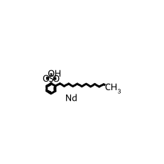 CCCCCCCCCCCCc1ccccc1S(=O)(=O)O.[Nd]